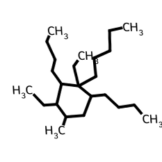 CCCCCC1(CC)C(CCCC)CC(C)C(CC)C1CCCC